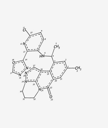 Cc1cc(C(C)Nc2ccc(Cl)nc2-c2nnco2)c2c(c1)c(=O)n1c3c2cnn3CCC1